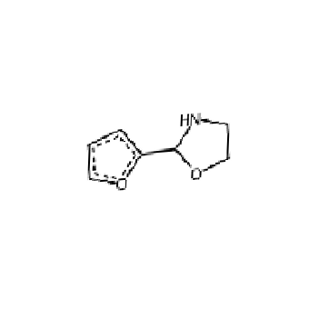 c1coc(C2NCCO2)c1